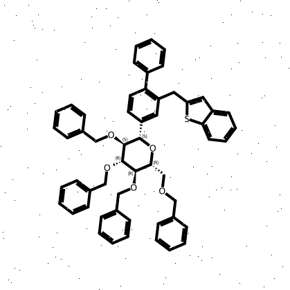 c1ccc(COC[C@H]2O[C@@H](c3ccc(-c4ccccc4)c(Cc4cc5ccccc5s4)c3)[C@H](OCc3ccccc3)[C@@H](OCc3ccccc3)[C@@H]2OCc2ccccc2)cc1